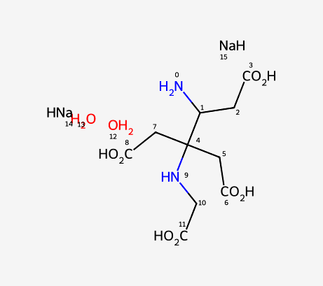 NC(CC(=O)O)C(CC(=O)O)(CC(=O)O)NCC(=O)O.O.O.[NaH].[NaH]